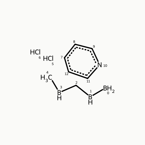 BBCBC.Cl.Cl.c1ccncc1